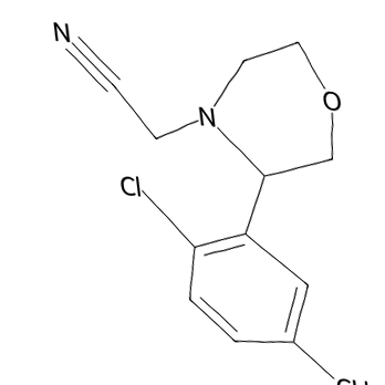 Cc1ccc(Cl)c(C2COCCN2CC#N)c1